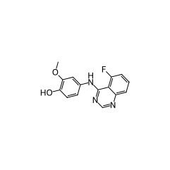 COc1cc(Nc2ncnc3cccc(F)c23)ccc1O